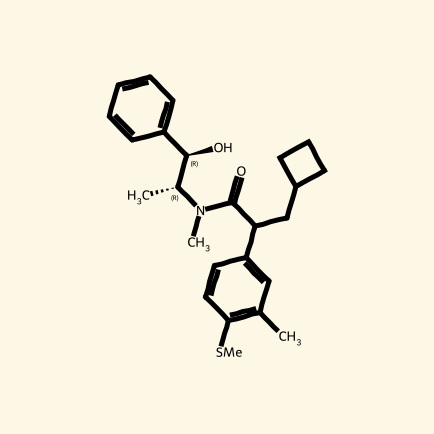 CSc1ccc(C(CC2CCC2)C(=O)N(C)[C@H](C)[C@H](O)c2ccccc2)cc1C